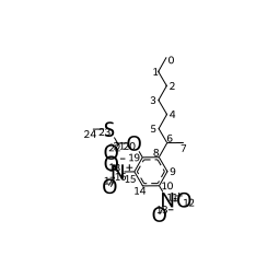 CCCCCCC(C)c1cc([N+](=O)[O-])cc([N+](=O)[O-])c1OC(=O)SC